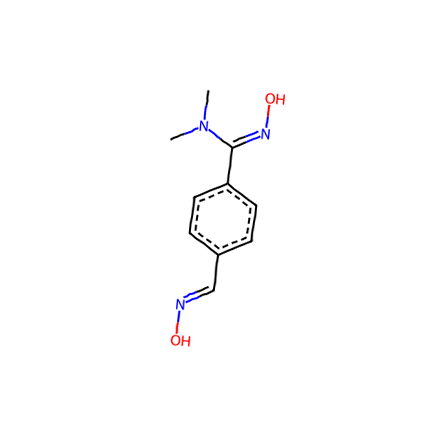 CN(C)/C(=N\O)c1ccc(/C=N/O)cc1